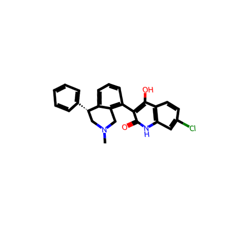 CN1Cc2c(-c3c(O)c4ccc(Cl)cc4[nH]c3=O)cccc2[C@@H](c2ccccc2)C1